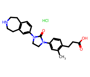 Cc1cc(N2CCN(c3ccc4c(c3)CCNCC4)C2=O)ccc1CCC(=O)O.Cl